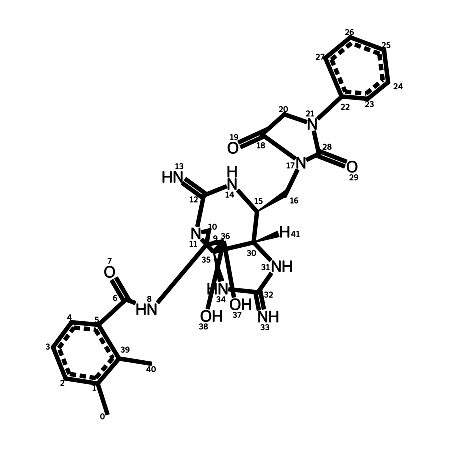 Cc1cccc(C(=O)NC2CN3C(=N)N[C@@H](CN4C(=O)CN(c5ccccc5)C4=O)[C@@H]4NC(=N)N[C@@]43C2(O)O)c1C